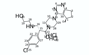 C[C@@H]1CCc2ncnc(N3CCN(C(=O)[C@@H](CNCCO)c4ccc(Cl)cc4)CC3)c21.Cl.Cl